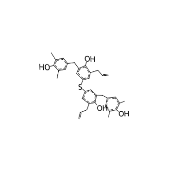 C=CCc1cc(Sc2cc(CC=C)c(O)c(Cc3cc(C)c(O)c(C)c3)c2)cc(Cc2cc(C)c(O)c(C)c2)c1O